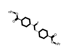 CCCOC(=O)[C@H]1CC[C@H](CC(F)[C@H]2CC[C@H](C(=O)OCCC)CC2)CC1